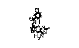 Cc1ncc(Cn2nnc(CNC(=O)c3cccc(Cl)c3)c2I)c(N)n1